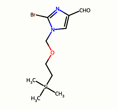 C[Si](C)(C)CCOCn1cc(C=O)nc1Br